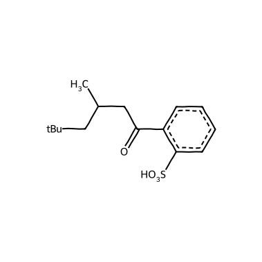 CC(CC(=O)c1ccccc1S(=O)(=O)O)CC(C)(C)C